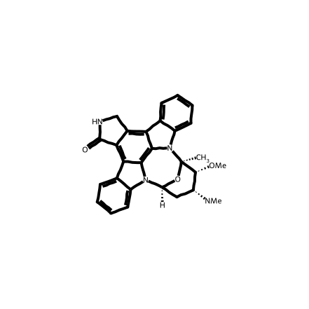 CN[C@@H]1C[C@@H]2O[C@](C)([C@@H]1OC)n1c3ccccc3c3c4c(c5c6ccccc6n2c5c31)C(=O)NC4